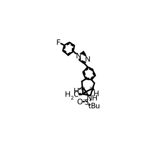 C=C[C@]1(N[S+]([O-])C(C)(C)C)[C@@H]2CC[C@H]1Cc1ccc(-c3cn(-c4ccc(F)cc4)cn3)cc1C2